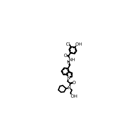 O=C(N/N=C/c1cccc2c1ccn2CC(=O)N(CCO)C1CCCCC1)c1ccc(O)c(Cl)c1